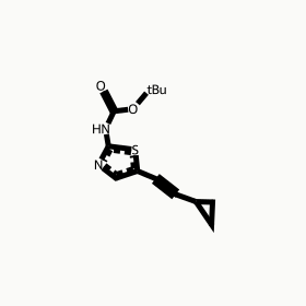 CC(C)(C)OC(=O)Nc1ncc(C#CC2CC2)s1